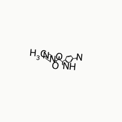 CN1CCN(C(=O)C(=O)c2c[nH]c3cc(C#N)ccc23)CC1